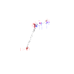 CNC(CCCCNC(=O)CCC(NC(=O)CCCCCCCCCCCCCCCCCCC(=O)O)C(=O)O)C(C)=O